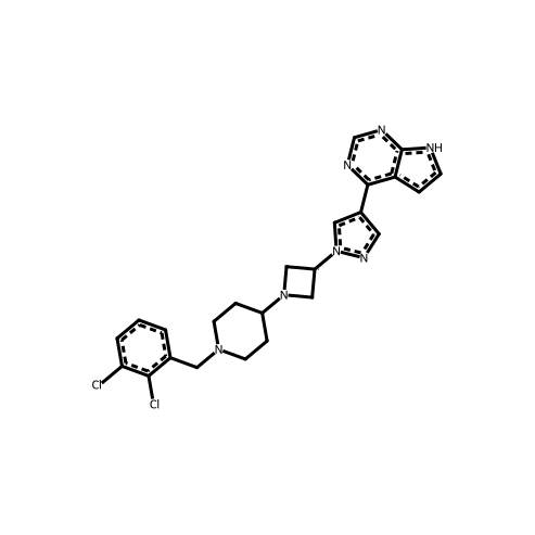 Clc1cccc(CN2CCC(N3C[C](n4cc(-c5ncnc6[nH]ccc56)cn4)C3)CC2)c1Cl